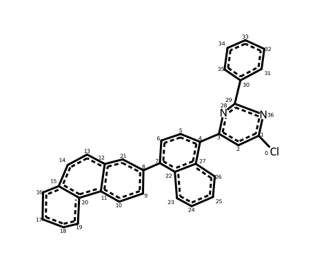 Clc1cc(-c2ccc(-c3ccc4c(ccc5ccccc54)c3)c3ccccc23)nc(-c2ccccc2)n1